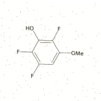 COc1cc(F)c(F)c(O)c1F